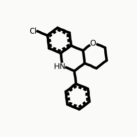 Clc1ccc2c(c1)NC(c1ccccc1)C1CCCOC21